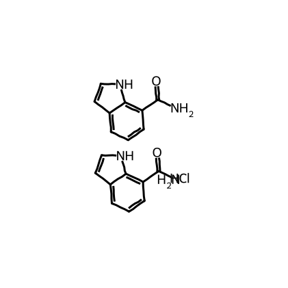 Cl.NC(=O)c1cccc2cc[nH]c12.NC(=O)c1cccc2cc[nH]c12